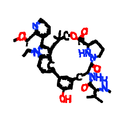 CCn1c(-c2cccnc2[C@H](C)OC)c2c3cc(ccc31)-c1cc(O)cc(c1)C[C@H](NC(=O)C(NC)C(C)C)C(=O)N1CCC[C@H](N1)C(=O)OCC(C)(C)C2